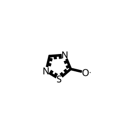 [O]c1ncns1